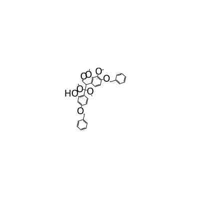 COc1c(OCc2ccccc2)ccc(C(C=O)C(OC)(OC)c2ccc(OCc3ccccc3)cc2O)c1OC